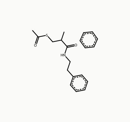 CC(=O)SCC(C)C(=O)NCCc1ccccc1.c1ccccc1